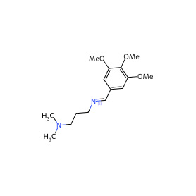 COc1cc(/C=N/CCCN(C)C)cc(OC)c1OC